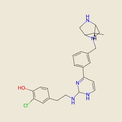 C[C@H]1C2CN(Cc3cccc(C4=NC(NCCc5ccc(O)c(Cl)c5)NC=C4)c3)C1CN2